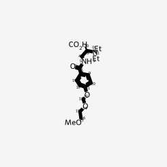 CCN(CC)[C@@H](CNC(=O)c1ccc(OCOCCOC)cc1)C(=O)O